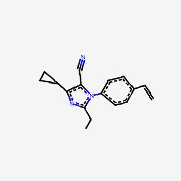 C=Cc1ccc(-n2c(CC)nc(C3CC3)c2C#N)cc1